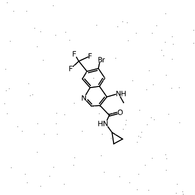 CNc1c(C(=O)NC2CC2)cnc2cc(C(F)(F)F)c(Br)cc12